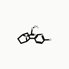 COC(=O)N1C2CCC1C(c1ccc(Cl)nc1)C2